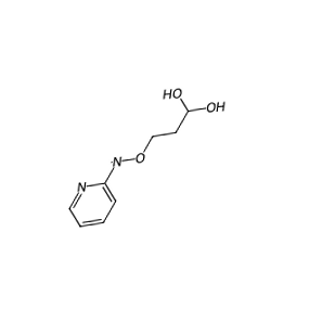 OC(O)CCO[N]c1ccccn1